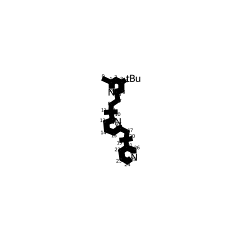 Cc1cc(C(C)(C)C)cc(CCC(C)(C)c2cccc(CC(C)(C)c3cccnc3)n2)n1